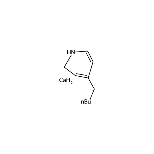 CCCCCC1=CCNC=C1.[CaH2]